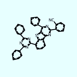 N#Cc1ccccc1-c1nc(-c2ccccc2)c2sc3c(-c4nc(-c5ccccc5)nc(-c5ccccc5)n4)cccc3c2n1